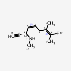 C#C[C@H](/C=C\C/C(C)=C(\C)F)NC